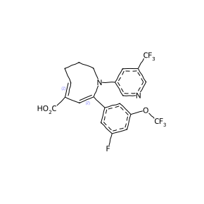 O=C(O)C1=C\CCCN(c2cncc(C(F)(F)F)c2)/C(c2cc(F)cc(OC(F)(F)F)c2)=C\1